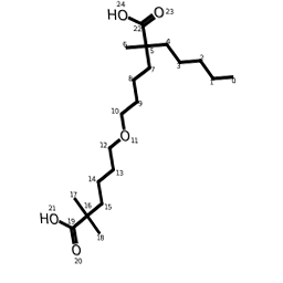 CCCCCC(C)(CCCCOCCCCC(C)(C)C(=O)O)C(=O)O